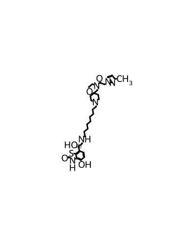 Cc1ccn(CC(=O)N2CCOC3(CCN(CCCCCCCCCNC[C@H](O)c4ccc(O)c5[nH]c(=O)sc45)CC3)C2)n1